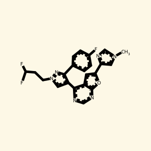 Cn1cnc(-c2cc3c(-c4cn(CCC(F)F)nc4-c4ccc(F)cc4)ncnc3o2)c1